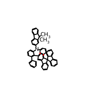 CC1(C)c2ccccc2-c2ccc(N(c3ccccc3)c3cccc(-c4ccccc4)c3-c3ccc4c(c3)-c3ccccc3C43c4ccccc4-c4ccccc43)cc21